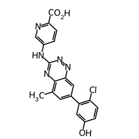 Cc1cc(-c2cc(O)ccc2Cl)cc2nnc(Nc3ccc(C(=O)O)nc3)nc12